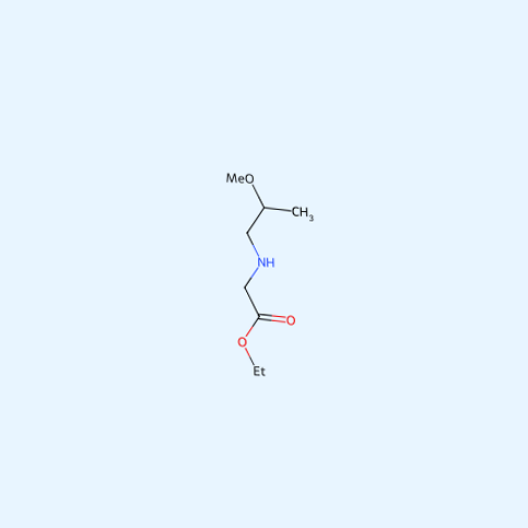 CCOC(=O)CNCC(C)OC